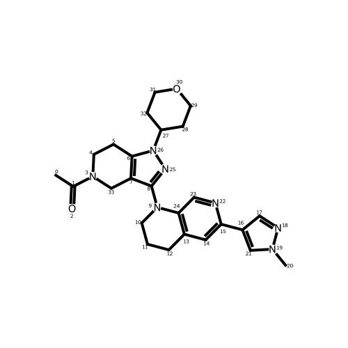 CC(=O)N1CCc2c(c(N3CCCc4cc(-c5cnn(C)c5)ncc43)nn2C2CCOCC2)C1